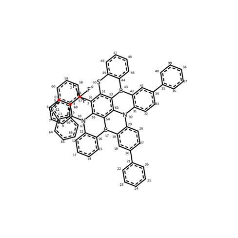 FC(F)(F)c1ccccc1N1c2ccccc2B2c3cc(-c4ccccc4)ccc3N3c4ccc(-c5ccccc5)cc4B4c5ccccc5Sc5c4c3c2c1c5-c1cccc2oc3ccccc3c12